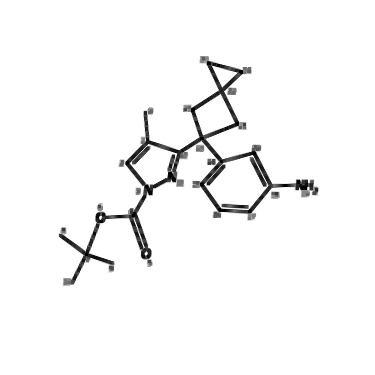 Cc1cn(C(=O)OC(C)(C)C)nc1C1(c2cccc(N)c2)CC2(CC2)C1